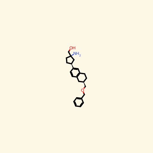 N[C@]1(CO)CC[C@H](c2ccc3c(c2)CC[C@@H](COCc2ccccc2)C3)C1